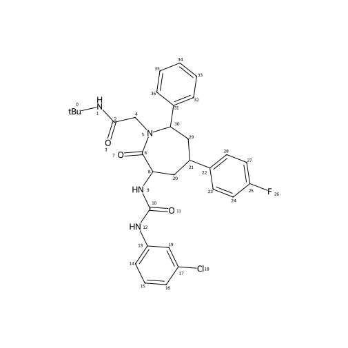 CC(C)(C)NC(=O)CN1C(=O)C(NC(=O)Nc2cccc(Cl)c2)CC(c2ccc(F)cc2)CC1c1ccccc1